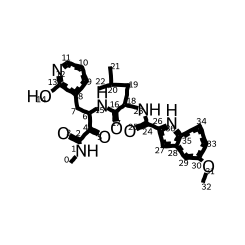 CNC(=O)C(=O)C(Cc1cccnc1O)NC(=O)C(CC(C)C)NC(=O)c1cc2cc(OC)ccc2[nH]1